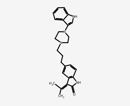 CC(C)=C1C(=O)Nc2ccc(CCCN3CCN(c4c[nH]c5ccccc45)CC3)cc21